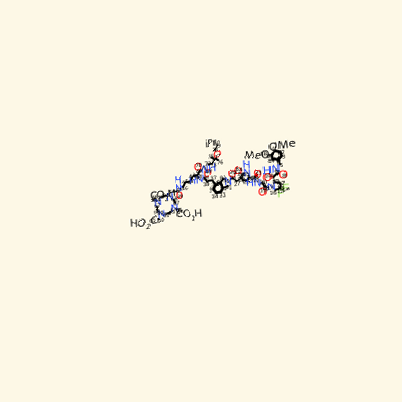 COc1ccc(CNC(=O)C(=O)[C@@H]2CC(F)(F)CN2C(=O)CNC(=O)[C@@H]2C[C@@H](CC(=O)N3Cc4cccc(CCC(=O)NC(CCCCNC(=O)CN5CCN(CC(=O)O)CCN(CC(=O)O)CCN(CC(=O)O)CC5)C(=O)NCCC(C)(C)OCCC(C)C)c4C3)C(=O)N2)cc1OC